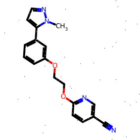 Cn1nccc1-c1cccc(OCCOc2ccc(C#N)cn2)c1